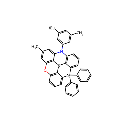 Cc1cc(N2c3cc(C)cc4c3B3c5c(cccc5[Si](c5ccccc5)(c5ccccc5)c5cccc2c53)O4)cc(C(C)(C)C)c1